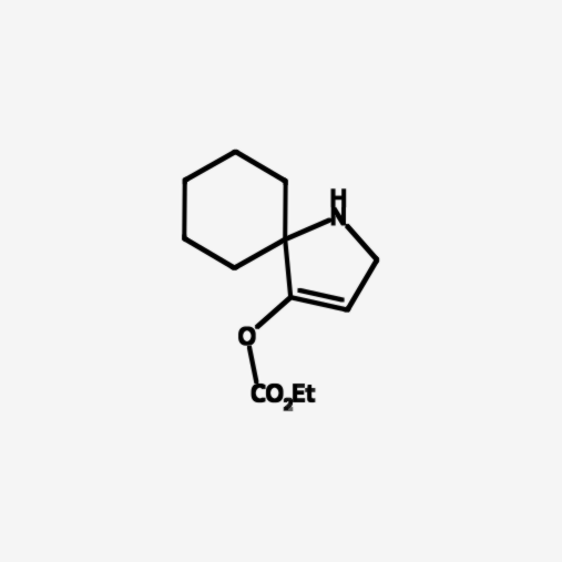 CCOC(=O)OC1=CCNC12CCCCC2